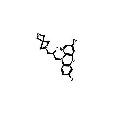 OC(CN1CC2(COC2)C1)CN1c2ccc(Br)cc2Oc2cc(Br)cnc21